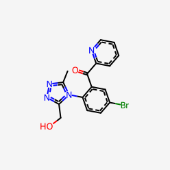 Cc1nnc(CO)n1-c1ccc(Br)cc1C(=O)c1ccccn1